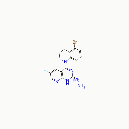 N/N=c1/nc(N2CCCc3c(Br)cccc32)c2cc(F)cnc2[nH]1